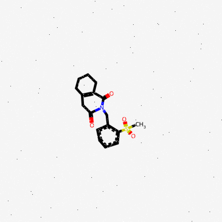 CS(=O)(=O)c1ccccc1CN1C(=O)CC2=C(CCCC2)C1=O